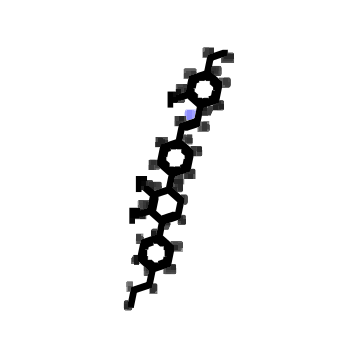 CCCc1ccc(C2=CCC(c3ccc(/C=C/c4ccc(CC)cc4F)cc3)C(F)=C2F)cc1